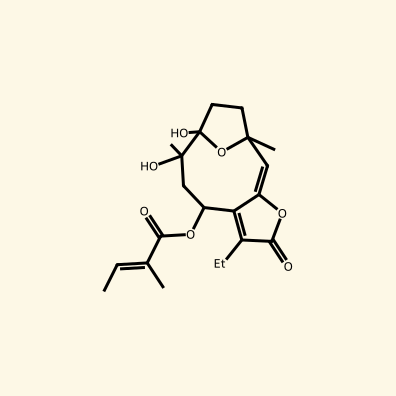 C/C=C(\C)C(=O)OC1CC(C)(O)C2(O)CCC(C)(/C=C3/OC(=O)C(CC)=C31)O2